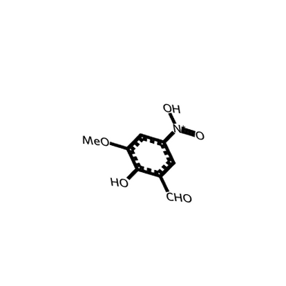 COc1cc([N+](=O)O)cc(C=O)c1O